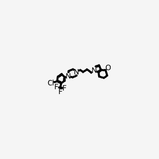 O=C1CCCc2c1ccn2CCCCN1CCN(c2ccc(Cl)c(C(F)(F)F)c2)CC1